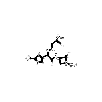 COC(=O)CON=C(C(=O)N[C@H]1CN(S(=O)(=O)O)C1=O)c1csc(N)n1